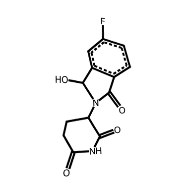 O=C1CCC(N2C(=O)c3ccc(F)cc3C2O)C(=O)N1